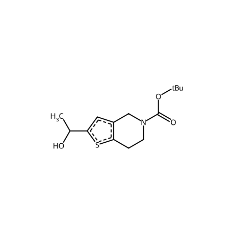 CC(O)c1cc2c(s1)CCN(C(=O)OC(C)(C)C)C2